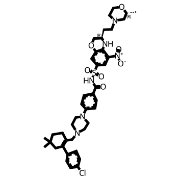 C[C@@H]1CN(CC[C@@H]2COc3cc(S(=O)(=O)NC(=O)c4ccc(N5CCN(CC6=C(c7ccc(Cl)cc7)CC(C)(C)CC6)CC5)cc4)cc([N+](=O)[O-])c3N2)CCO1